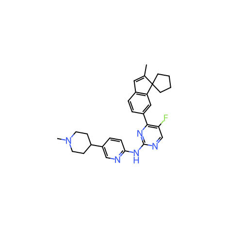 CC1=Cc2ccc(-c3nc(Nc4ccc(C5CCN(C)CC5)cn4)ncc3F)cc2C12CCCC2